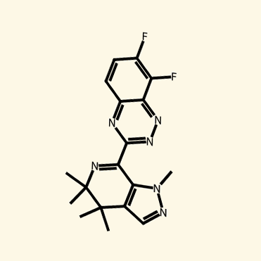 Cn1ncc2c1C(c1nnc3c(F)c(F)ccc3n1)=NC(C)(C)C2(C)C